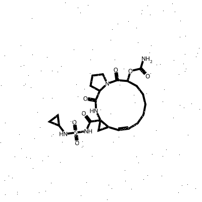 NC(=O)OC1CCCCCC=CC2CC2(C(=O)NS(=O)(=O)NC2CC2)NC(=O)C2CCCN2C1=O